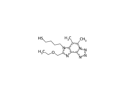 CCOCc1nc2c(c(C)c(C)n3nnnc23)n1CCCCS